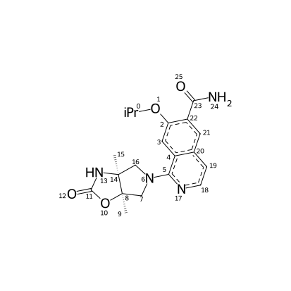 CC(C)Oc1cc2c(N3C[C@@]4(C)OC(=O)N[C@@]4(C)C3)nccc2cc1C(N)=O